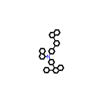 c1ccc(-c2ccc3ccccc3c2-c2ccc(N(c3ccc(-c4cccc(-c5cccc6ccccc56)c4)cc3)c3cccc4ccccc34)cc2)cc1